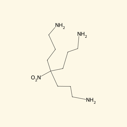 NCCCC(CCCN)(CCCN)[N+](=O)[O-]